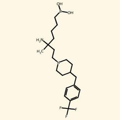 CC(N)(CCCCB(O)O)CCN1CCC(Cc2ccc(C(F)(F)F)cc2)CC1